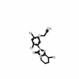 C#CCOc1cc(-n2nc3n(c2=O)CCCC3Cl)c(Cl)cc1Cl